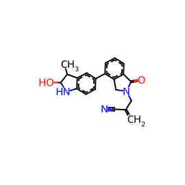 C=C(C#N)CN1Cc2c(cccc2-c2ccc3c(c2)C(C)C(O)N3)C1=O